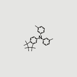 Cc1cccc(N(c2cccc(C)c2)c2ccc3c(c2)C(C)(C)C(C)(C)C3(C)C)c1